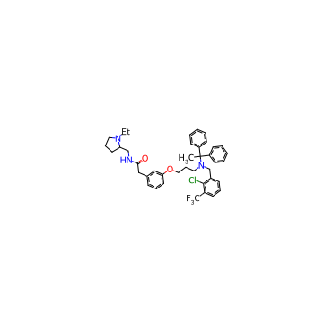 CCN1CCCC1CNC(=O)Cc1cccc(OCCCN(Cc2cccc(C(F)(F)F)c2Cl)C(C)(c2ccccc2)c2ccccc2)c1